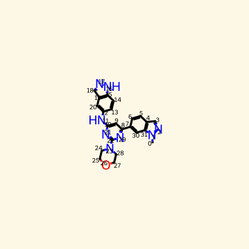 Cn1ncc2ccc(-c3cc(Nc4ccc5[nH]ncc5c4)nc(N4CCOCC4)n3)cc21